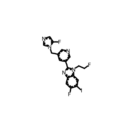 FCCn1c(-c2cncc(Cn3cncc3F)c2)nc2cc(F)c(I)cc21